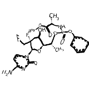 CC(C)OC(=O)[C@H](C)N[P@](=O)(Oc1ccccc1)O[C@H](C)[C@H]1O[C@@H](n2ccc(N)nc2=O)[C@@](F)(CF)C1O